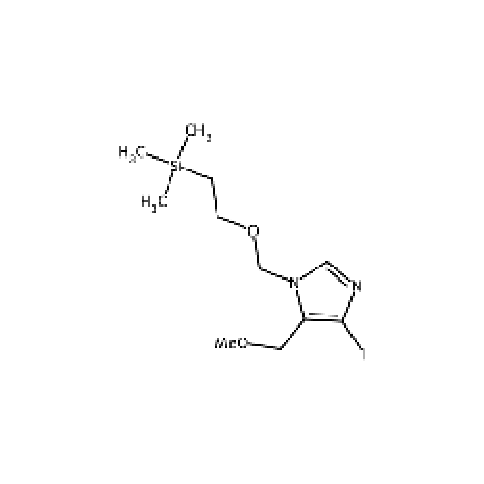 COCc1c(I)ncn1COCC[Si](C)(C)C